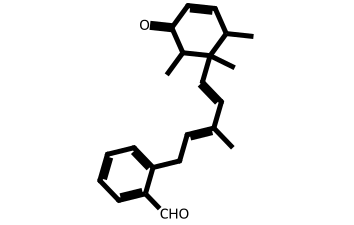 CC(C=CC1(C)C(C)C=CC(=O)C1C)=CCc1ccccc1C=O